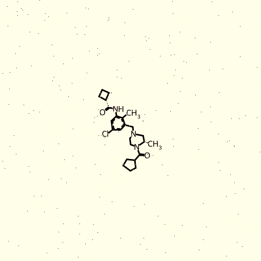 Cc1c(CN2CCN(C(=O)C3CCCC3)[C@@H](C)C2)cc(Cl)cc1NC(=O)[C@H]1[CH]CC1